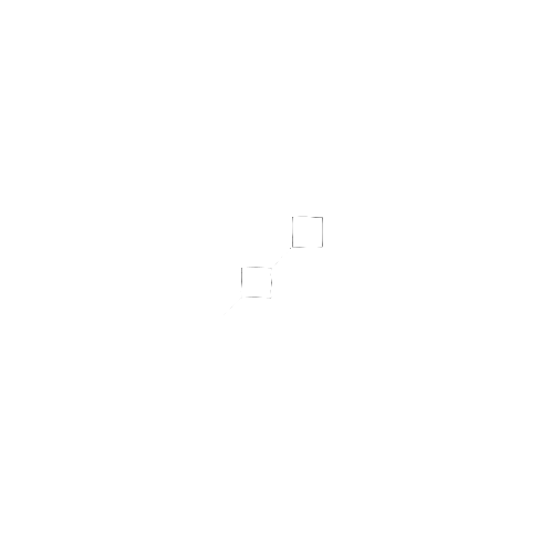 FC1CC([C]2CCC2)C1